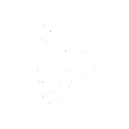 CCCc1nc2ccc(NCS(=O)(=O)c3ccccc3)cc2n1Cc1ccc(-c2ccccc2-c2nnn[nH]2)cc1